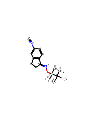 [C-]#[N+]c1ccc2c(c1)CCC2=NO[Si](C)(C)C(C)(C)C